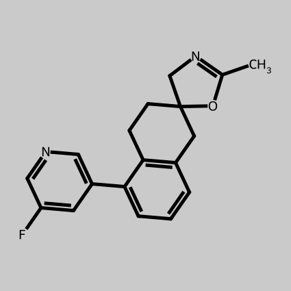 CC1=NCC2(CCc3c(cccc3-c3cncc(F)c3)C2)O1